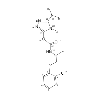 CC(CCc1ccccc1Cl)NC(=O)Oc1nnc(N(C)C)n1C